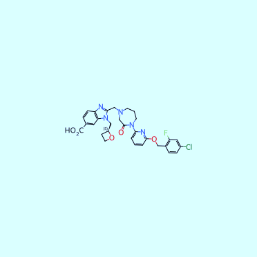 O=C(O)c1ccc2nc(CN3CCCN(c4cccc(OCc5ccc(Cl)cc5F)n4)C(=O)C3)n(C[C@@H]3CCO3)c2c1